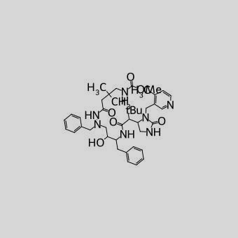 COC(=O)NCC(C)(C)CC(=O)NN(Cc1ccccc1)CC(O)C(Cc1ccccc1)NC(=O)C(C1CNC(=O)N1Cc1cnccc1C)C(C)(C)C